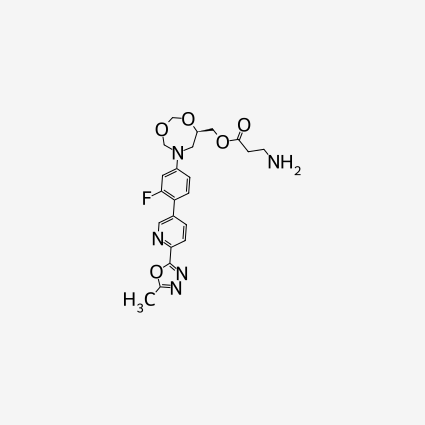 Cc1nnc(-c2ccc(-c3ccc(N4COCO[C@@H](COC(=O)CCN)C4)cc3F)cn2)o1